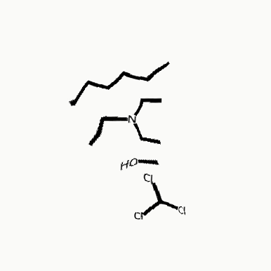 CCCCCC.CCN(CC)CC.CO.ClC(Cl)Cl